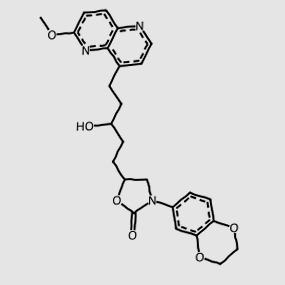 COc1ccc2nccc(CCC(O)CCC3CN(c4ccc5c(c4)OCCO5)C(=O)O3)c2n1